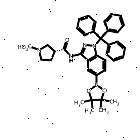 CC1(C)OB(c2ccc3c(c2)c(NC(=O)[C@@H]2CCN(C(=O)O)C2)nn3C(c2ccccc2)(c2ccccc2)c2ccccc2)OC1(C)C